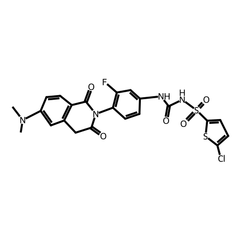 CN(C)c1ccc2c(c1)CC(=O)N(c1ccc(NC(=O)NS(=O)(=O)c3ccc(Cl)s3)cc1F)C2=O